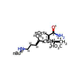 C=C(CCCCCCCC)C(N)=O.C=CC(=O)O.CCCCNCCC=C(C)C(=O)O